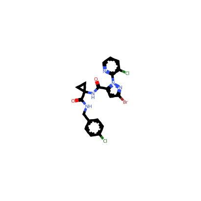 O=C(NC1(C(=O)NCc2ccc(Cl)cc2)CC1)c1cc(Br)nn1-c1ncccc1Cl